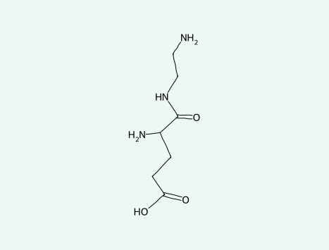 NCCNC(=O)C(N)CCC(=O)O